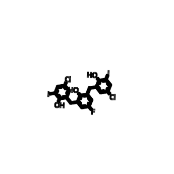 Oc1c(I)cc(Cl)cc1Cc1cc(F)cc(Cc2cc(Cl)cc(I)c2O)c1O